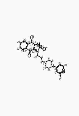 Cc1cc(N2CCN(CCCn3c4c(n[n+]3[O-])C(=O)c3ccccc3C4=O)CC2)ccn1